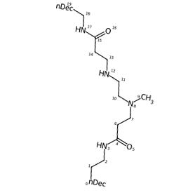 CCCCCCCCCCCCNC(=O)CCN(C)CCNCCC(=O)NCCCCCCCCCCC